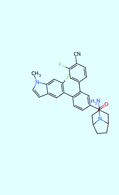 Cn1ccc2cc(-c3ccc(C(=O)N4C5CCC4CC(N)C5)cc3-c3ccc(C#N)c(F)c3)c(F)cc21